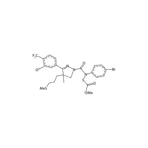 COC(=O)SN(C(=O)N1CC(C)(CCCSC)C(c2ccc(C(F)(F)F)c(Cl)c2)=N1)c1ccc(Br)cc1